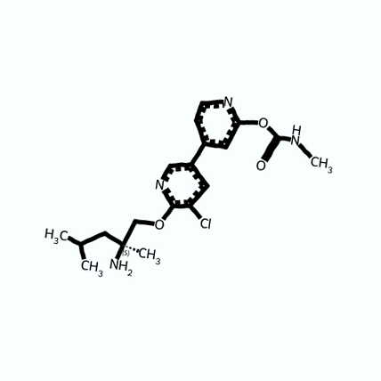 CNC(=O)Oc1cc(-c2cnc(OC[C@@](C)(N)CC(C)C)c(Cl)c2)ccn1